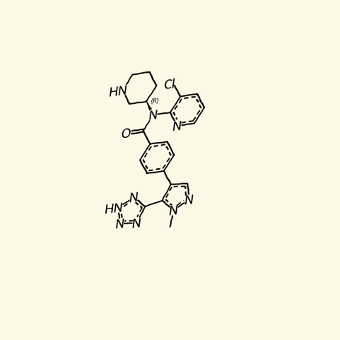 Cn1ncc(-c2ccc(C(=O)N(c3ncccc3Cl)[C@@H]3CCCNC3)cc2)c1-c1nn[nH]n1